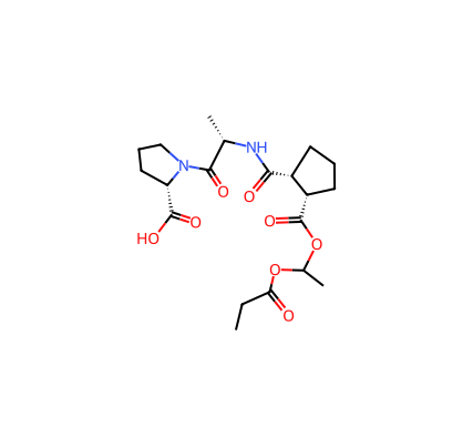 CCC(=O)OC(C)OC(=O)[C@H]1CCC[C@H]1C(=O)N[C@@H](C)C(=O)N1CCC[C@H]1C(=O)O